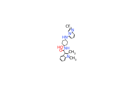 Cc1c(C(=O)NC2(O)CCC(Nc3cccc4nc(C(F)(F)F)cn34)CC2)c2ccccc2n1C